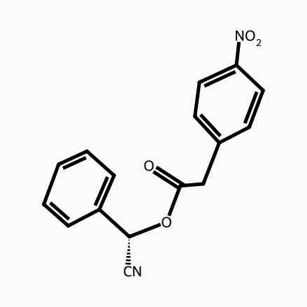 N#C[C@@H](OC(=O)Cc1ccc([N+](=O)[O-])cc1)c1ccccc1